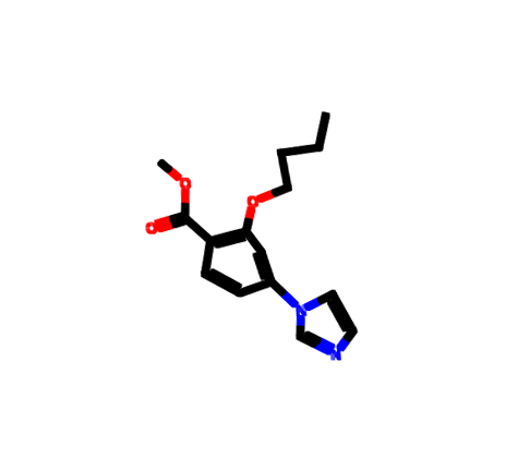 CCCCOc1cc(-n2ccnc2)ccc1C(=O)OC